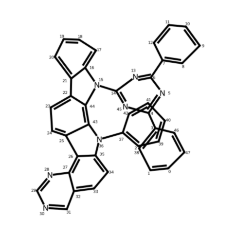 c1ccc(-c2nc(-c3ccccc3)nc(-n3c4ccccc4c4ccc5c6c7ncncc7ccc6n(-c6ccccc6)c5c43)n2)cc1